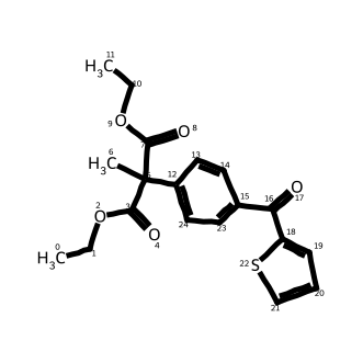 CCOC(=O)C(C)(C(=O)OCC)c1ccc(C(=O)c2cccs2)cc1